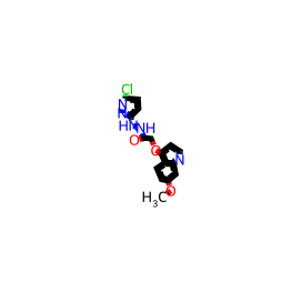 COc1ccc2c(OCC(=O)NNc3ccc(Cl)nn3)ccnc2c1